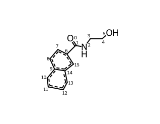 O=C(NCCO)c1ccc2ccccc2c1